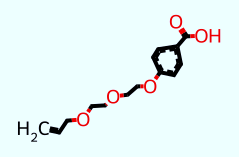 C=CCOCCOCCOc1ccc(C(=O)O)cc1